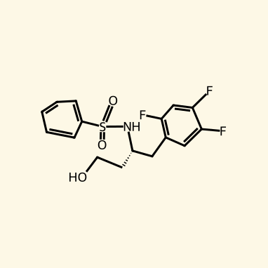 O=S(=O)(N[C@@H](CCO)Cc1cc(F)c(F)cc1F)c1ccccc1